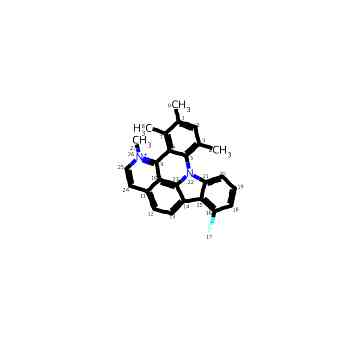 Cc1cc(C)c2c(c1C)c1c3c(ccc4c5c(F)cccc5n2c43)cc[n+]1C